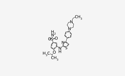 CCN1CCN(c2ccc(-c3csc(Nc4cc(S(N)(=O)=O)ccc4OC(C)C)n3)cc2)CC1